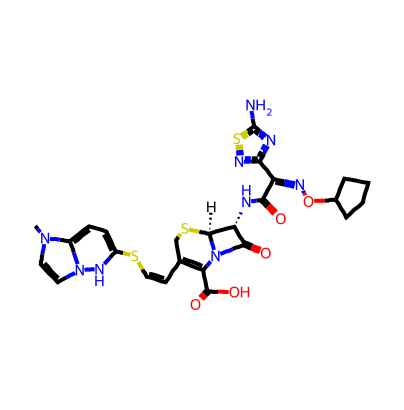 CN1C=CN2NC(S/C=C\C3=C(C(=O)O)N4C(=O)[C@@H](NC(=O)/C(=N\OC5CCCC5)c5nsc(N)n5)[C@@H]4SC3)=CC=C12